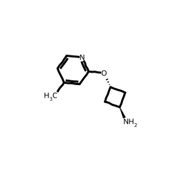 Cc1ccnc(O[C@H]2C[C@H](N)C2)c1